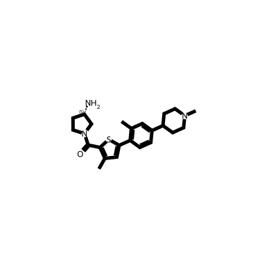 Cc1cc(C2CCN(C)CC2)ccc1-c1cc(C)c(C(=O)N2CC[C@H](N)C2)s1